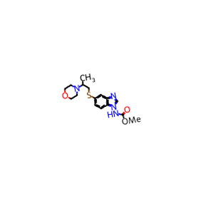 COC(=O)Nn1cnc2cc(SCC(C)N3CCOCC3)ccc21